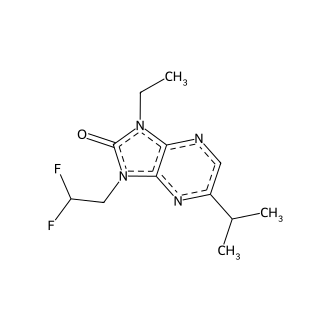 CCn1c(=O)n(CC(F)F)c2nc(C(C)C)cnc21